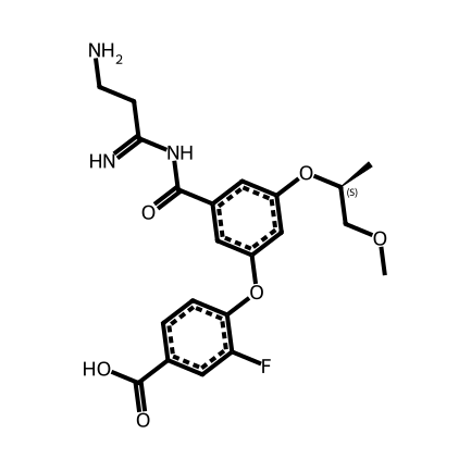 COC[C@H](C)Oc1cc(Oc2ccc(C(=O)O)cc2F)cc(C(=O)NC(=N)CCN)c1